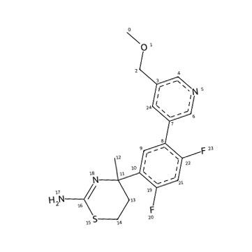 COCc1cncc(-c2cc(C3(C)CCSC(N)=N3)c(F)cc2F)c1